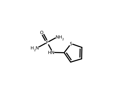 NP(N)(=O)Nc1cccs1